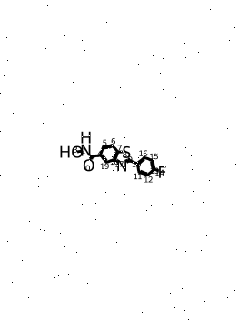 O=C(NO)c1ccc2sc(-c3ccc(F)cc3)nc2c1